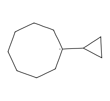 C1CCC[C](C2CC2)CCC1